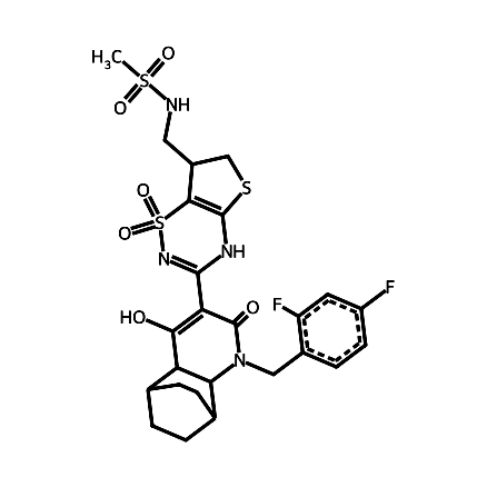 CS(=O)(=O)NCC1CSC2=C1S(=O)(=O)N=C(C1=C(O)C3C4CCC(CC4)C3N(Cc3ccc(F)cc3F)C1=O)N2